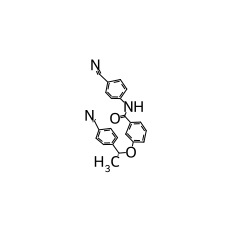 C[C@@H](Oc1cccc(C(=O)Nc2ccc(C#N)cc2)c1)c1ccc(C#N)cc1